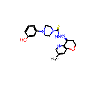 Cc1cnc2c(c1)OCC/C2=N/NC(=S)N1CCN(c2cccc(O)c2)CC1